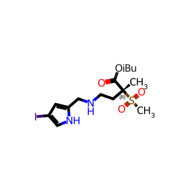 CC(C)COC(=O)[C@@](C)(CCNCc1cc(I)c[nH]1)S(C)(=O)=O